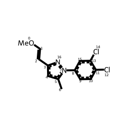 COC=Cc1cc(C)n(-c2ccc(Cl)c(Cl)c2)n1